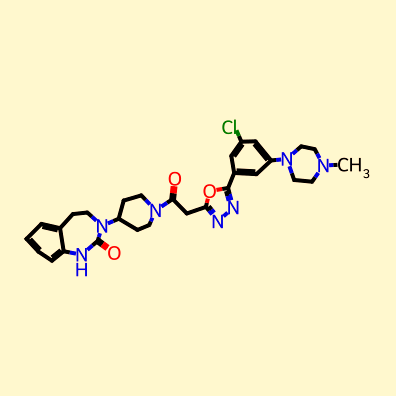 CN1CCN(c2cc(Cl)cc(-c3nnc(CC(=O)N4CCC(N5CCc6ccccc6NC5=O)CC4)o3)c2)CC1